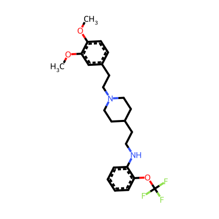 COc1ccc(CCN2CCC(CCNc3ccccc3OC(F)(F)F)CC2)cc1OC